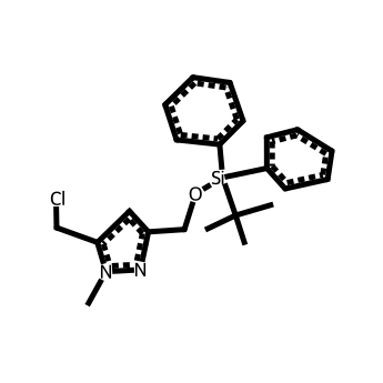 Cn1nc(CO[Si](c2ccccc2)(c2ccccc2)C(C)(C)C)cc1CCl